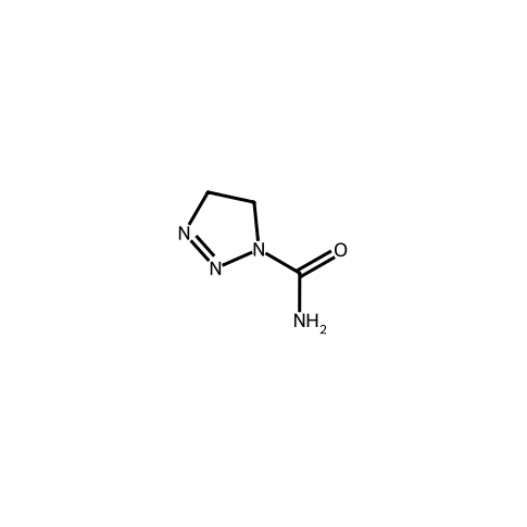 NC(=O)N1CCN=N1